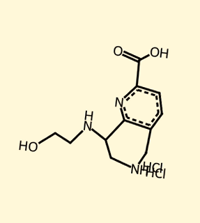 Cl.Cl.O=C(O)c1ccc2c(n1)C(NCCO)CNC2